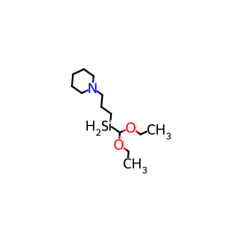 CCOC(OCC)[SiH2]CCCN1CCCCC1